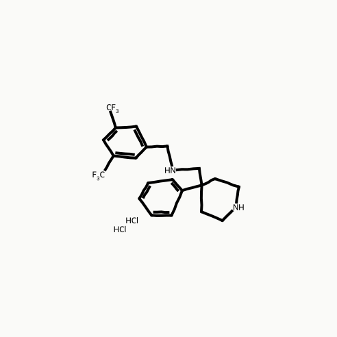 Cl.Cl.FC(F)(F)c1cc(CNCC2(c3ccccc3)CCNCC2)cc(C(F)(F)F)c1